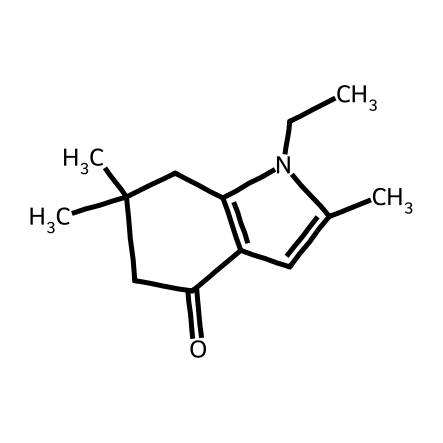 CCn1c(C)cc2c1CC(C)(C)CC2=O